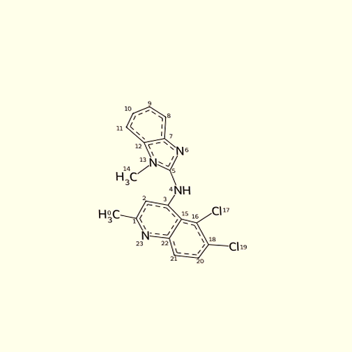 Cc1cc(Nc2nc3ccccc3n2C)c2c(Cl)c(Cl)ccc2n1